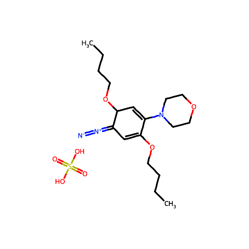 CCCCOC1=CC(=[N+]=[N-])C(OCCCC)C=C1N1CCOCC1.O=S(=O)(O)O